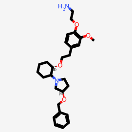 COc1cc(CCO[C@H]2CCCCC2N2CC[C@@H](OCc3ccccc3)C2)ccc1OCCN